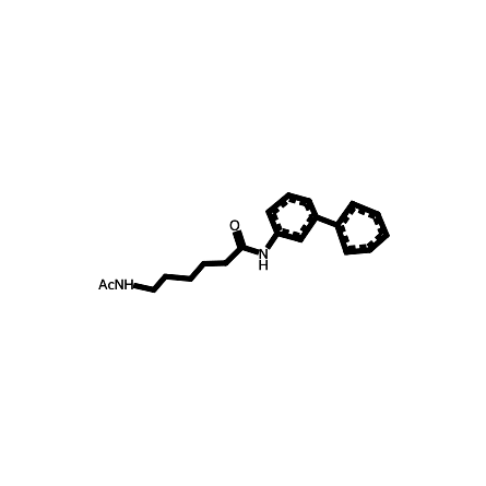 [CH2]C(=O)NCCCCCC(=O)Nc1cccc(-c2ccccc2)c1